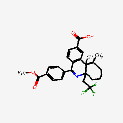 COC(=O)c1ccc(C2=NC3(CC(F)(F)F)CCCC(C)C3(C)c3cc(C(=O)O)ccc32)cc1